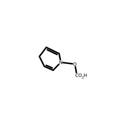 O=C(O)ON1C=CCC=C1